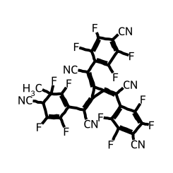 CC1(F)C(F)=C(/C(C#N)=C2\C(=C(C#N)c3c(F)c(F)c(C#N)c(F)c3F)\C2=C(/C#N)c2c(F)c(F)c(C#N)c(F)c2F)C(F)=C(F)C1C#N